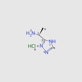 C[C@H](N)c1nnc[nH]1.Cl